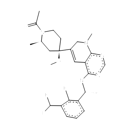 CO[C@]1(C2=Cc3c(N[C@H](C)c4cccc(C(F)F)c4F)ncnc3N(C)C2)CCN(C(C)=O)[C@H](C)C1